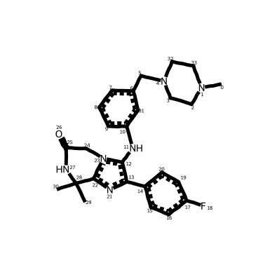 CN1CCN(Cc2cccc(Nc3c(-c4ccc(F)cc4)nc4n3CC(=O)NC4(C)C)c2)CC1